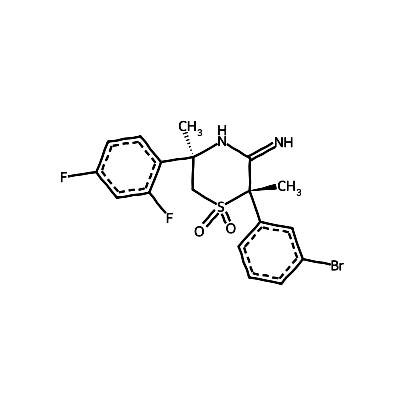 C[C@@]1(c2ccc(F)cc2F)CS(=O)(=O)[C@@](C)(c2cccc(Br)c2)C(=N)N1